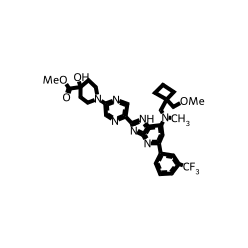 COCC1(CN(C)c2cc(-c3cccc(C(F)(F)F)c3)nc3nc(-c4cnc(N5CCC(O)(C(=O)OC)CC5)cn4)[nH]c23)CCC1